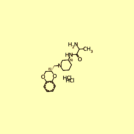 CC(N)C(=O)N[C@H]1CCCN(C[C@H]2COc3ccccc3O2)C1.Cl.Cl